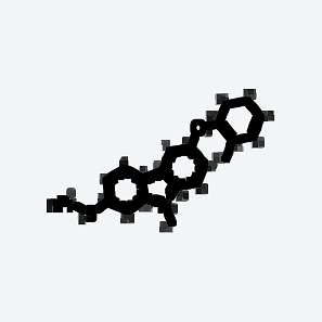 CCCSc1ccc2c3cc(OC4=C(C)C=CCC4)ccc3n(C)c2c1